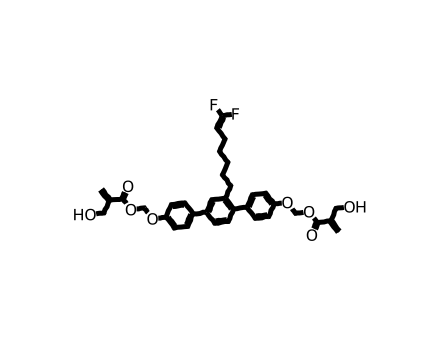 C=C(CO)C(=O)OCOc1ccc(-c2ccc(-c3ccc(OCOC(=O)C(=C)CO)cc3)c(CCCCCC=C(F)F)c2)cc1